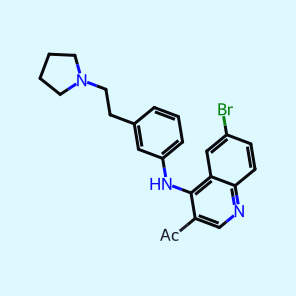 CC(=O)c1cnc2ccc(Br)cc2c1Nc1cccc(CCN2CCCC2)c1